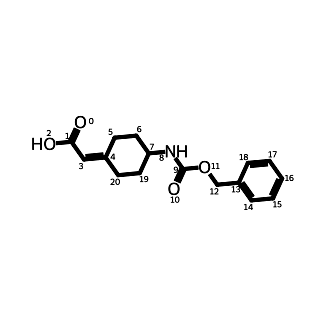 O=C(O)C=C1CCC(NC(=O)OCc2ccccc2)CC1